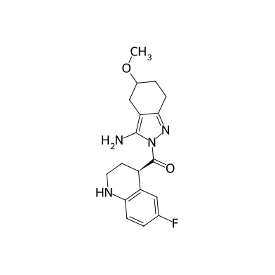 COC1CCc2nn(C(=O)[C@@H]3CCNc4ccc(F)cc43)c(N)c2C1